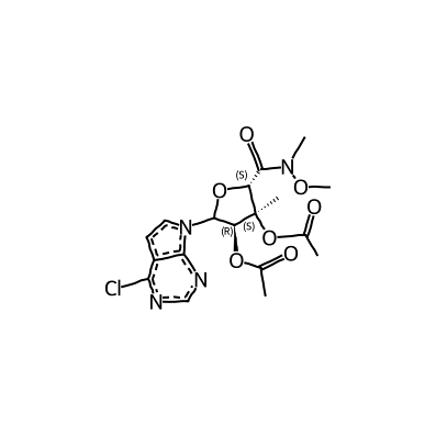 CON(C)C(=O)[C@H]1OC(n2ccc3c(Cl)ncnc32)[C@H](OC(C)=O)[C@]1(C)OC(C)=O